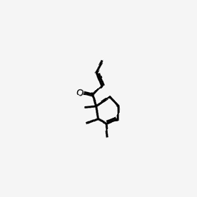 C/C=C/C(=O)C1(C)CCC=C(C)C1C